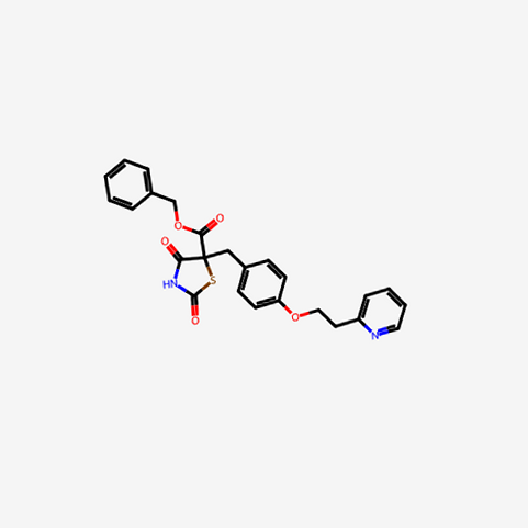 O=C1NC(=O)C(Cc2ccc(OCCc3ccccn3)cc2)(C(=O)OCc2ccccc2)S1